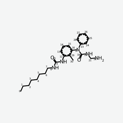 CCCCCCCCNC(=O)Nc1cccc(N(C(=O)NCN)c2ccccc2)c1C